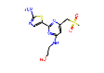 CS(=O)(=O)Cc1cc(NCCO)nc(-c2cnc(N)s2)n1